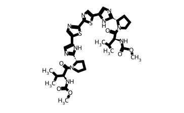 COC(=O)N[C@H](C(=O)N1CCC[C@H]1c1ncc(-c2cnc(-c3ncc(-c4cnc([C@@H]5CCCN5C(=O)[C@@H](NC(=O)OC)C(C)C)[nH]4)s3)s2)[nH]1)C(C)C